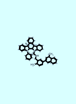 CC1C=CC(C2=CC(C)C3C=CC=CC3=C2)=CC1CNC(N)N1C2CCC=CC2C2C3=C(C=CCC3)[C@@H]3c4ccccc4N(C4C=CC=CC4)C3C21